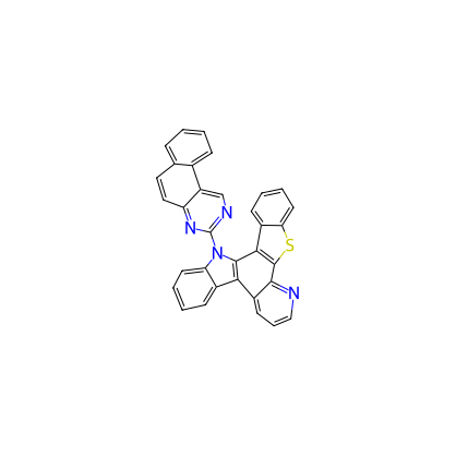 c1ccc2c(c1)ccc1nc(-n3c4ccccc4c4c5cccnc5c5sc6ccccc6c5c43)ncc12